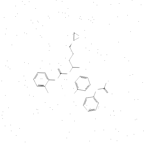 CCC(CCC[C@H]1CO1)OC(=S)Oc1ccccc1C.O=C(O)c1ccccc1.OC(=S)Oc1ccccc1